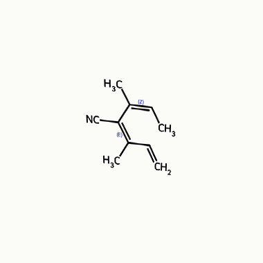 C=C/C(C)=C(C#N)\C(C)=C/C